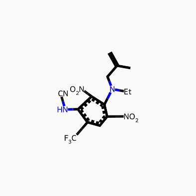 C=C(C)CN(CC)c1c([N+](=O)[O-])cc(C(F)(F)F)c(NC#N)c1[N+](=O)[O-]